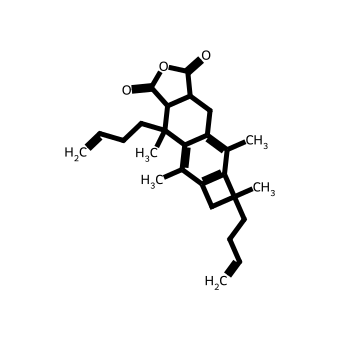 C=CCCC1(C)Cc2c(C)c3c(c(C)c21)CC1C(=O)OC(=O)C1C3(C)CCC=C